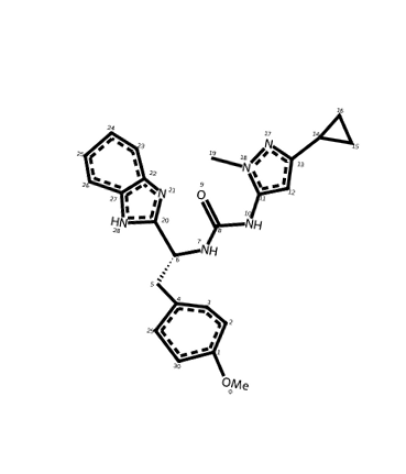 COc1ccc(C[C@@H](NC(=O)Nc2cc(C3CC3)nn2C)c2nc3ccccc3[nH]2)cc1